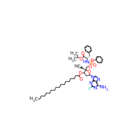 C#CC1(CO[P@@](=O)(N[C@@H](Cc2ccccc2)C(=O)OC(C)C)Oc2ccccc2)OC(n2cnc3c(N)nc(F)nc32)CC1OC(=O)CCCCCCCCCCCCCCCCC